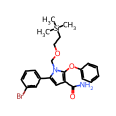 C[Si](C)(C)CCOCn1c(-c2cccc(Br)c2)cc(C(N)=O)c1Oc1ccccc1